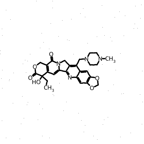 CCC1(O)C(=O)OCc2c1cc1n(c2=O)Cc2c-1nc1cc3c(cc1c2CN1CCN(C)CC1)OCO3